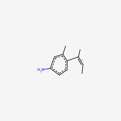 C/C=C(/C)c1ccc(N)cc1C